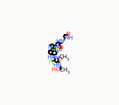 COc1nc(-c2ccnc(-c3cccc4c3CCC[C@@H]4Nc3nc(OC)c(CNCC(C)O)cc3C(F)(F)F)c2Cl)ccc1CNC[C@H]1CCC(=O)N1